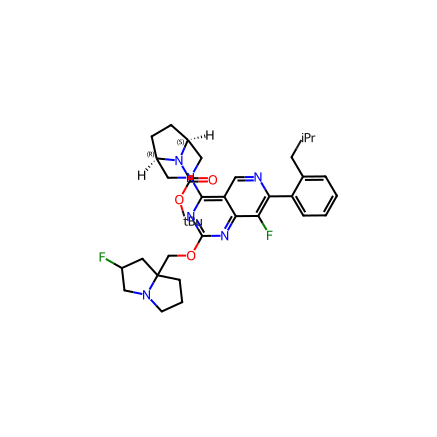 CC(C)Cc1ccccc1-c1ncc2c(N3C[C@H]4CC[C@@H](C3)N4C(=O)OC(C)(C)C)nc(OCC34CCCN3CC(F)C4)nc2c1F